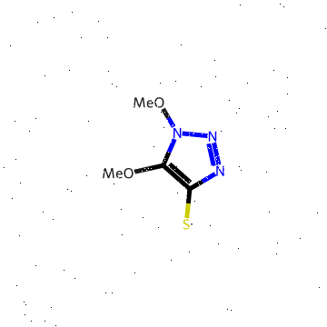 COc1c([S])nnn1OC